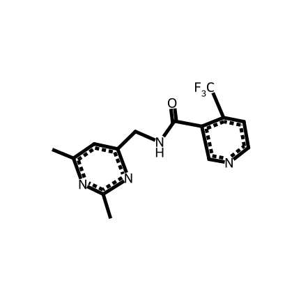 Cc1cc(CNC(=O)c2cnccc2C(F)(F)F)nc(C)n1